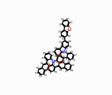 c1ccc(N(c2ccc(-c3ccccc3-n3c4ccccc4c4cc(-c5ccc6c(c5)oc5ccccc56)ccc43)cc2)c2ccccc2-c2ccc3ccccc3c2)c(-c2ccc3ccccc3c2)c1